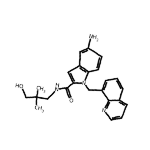 CC(C)(CO)CNC(=O)c1cc2cc(N)ccc2n1Cc1cccc2cccnc12